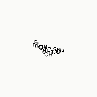 COc1ccc2nc(N3CCN(S(=O)(=O)c4ccc(OC(F)(F)F)cc4)[C@@H](C(=O)O)C3)sc2n1